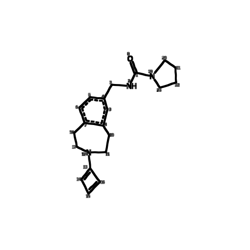 O=C(NCc1ccc2c(c1)CCN(C1=CC=C1)CC2)N1CCCC1